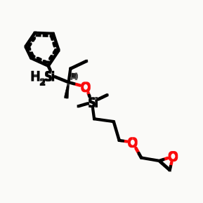 CC[C@](C)(O[Si](C)(C)CCCOCC1CO1)[SiH2]c1ccccc1